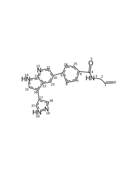 C=CCNC(=O)c1ccc(-c2cnc3[nH]cc(-c4cn[nH]c4)c3c2)cc1